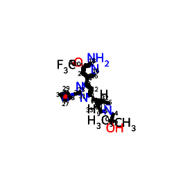 CC(C)(O)CN1C[C@@H]2[C@H](C1)[C@H]2c1cc(-c2cnc(N)c(OC(F)(F)F)c2)nc(N2CC3CC2C3)n1